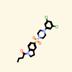 CCCC(=O)N1CCc2cc(S(=O)(=O)N3CCN(c4cc(Cl)cc(Cl)c4)CC3)ccc21